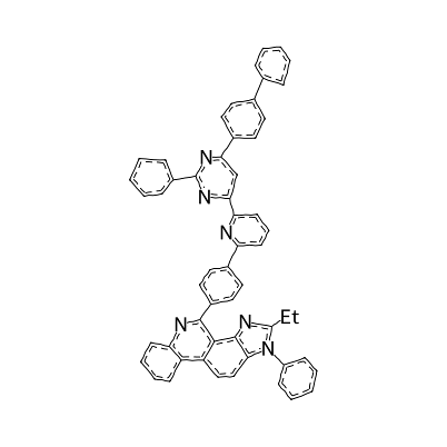 CCc1nc2c3c(-c4ccc(-c5cccc(-c6cc(-c7ccc(-c8ccccc8)cc7)nc(-c7ccccc7)n6)n5)cc4)nc4ccccc4c3ccc2n1-c1ccccc1